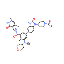 CCC(=O)N1CCC(n2c(=O)n(C)c3cc(-c4cc(C(=O)NCc5c(C)cc(C)[nH]c5=O)c(C)c(N(CC)C5CCOCC5)c4)ccc32)CC1